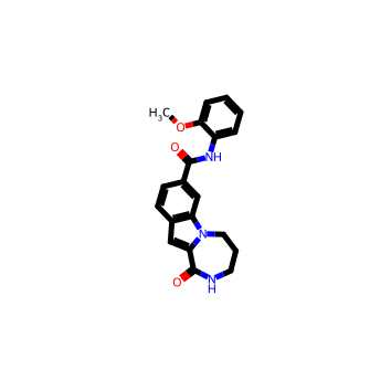 COc1ccccc1NC(=O)c1ccc2cc3n(c2c1)CCCNC3=O